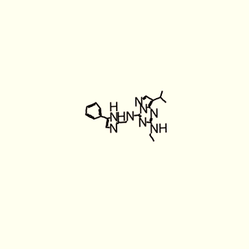 CCNc1nc(NCc2ncc(-c3ccccc3)[nH]2)n2ncc(C(C)C)c2n1